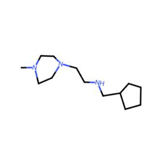 CN1CCN(CCNCC2CCCC2)CC1